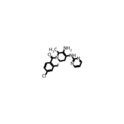 CC1C(N)=C(Nc2ncccn2)CCN1C(=O)c1ccc(Cl)cc1F